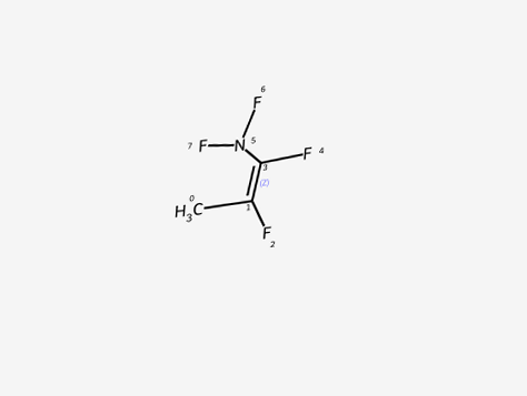 C/C(F)=C(/F)N(F)F